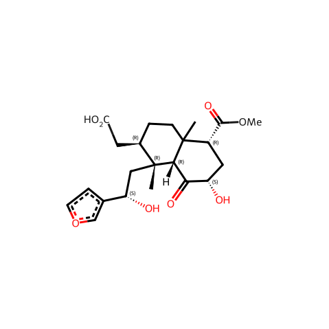 COC(=O)[C@@H]1C[C@H](O)C(=O)[C@H]2C1(C)CC[C@H](CC(=O)O)[C@@]2(C)C[C@H](O)c1ccoc1